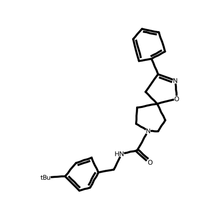 CC(C)(C)c1ccc(CNC(=O)N2CCC3(CC2)CC(c2ccccc2)=NO3)cc1